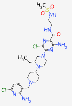 CC[C@H]1CN(c2nc(N)c(C(=O)NCCNS(C)(=O)=O)nc2Cl)CCN1C1CCN(Cc2ccc(Cl)nc2N)CC1